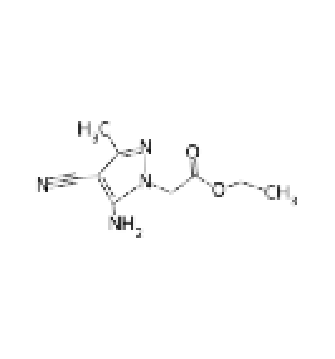 CCOC(=O)Cn1nc(C)c(C#N)c1N